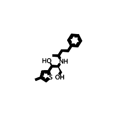 Cc1csc([C@@H](O)[C@H](CO)NC(C)CCc2ccccc2)c1